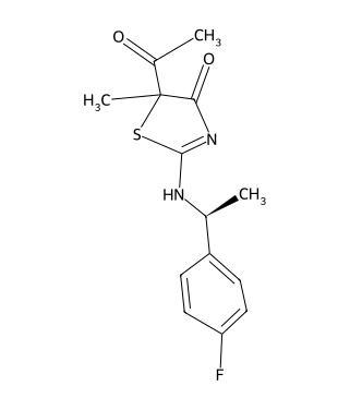 CC(=O)C1(C)SC(N[C@@H](C)c2ccc(F)cc2)=NC1=O